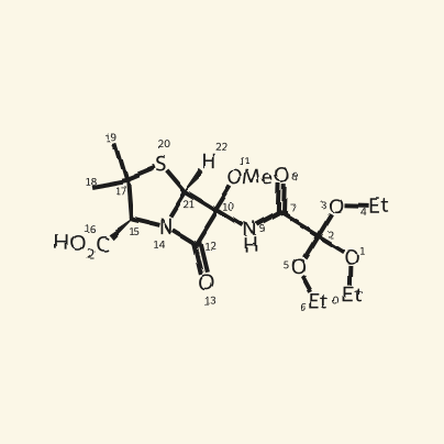 CCOC(OCC)(OCC)C(=O)NC1(OC)C(=O)N2[C@@H](C(=O)O)C(C)(C)S[C@@H]21